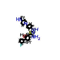 CCNC1CCN(c2ccc(Nc3nc(N)c(C4(C)CCC(C(C)C)C(c5cccc(F)c5)C4=O)s3)cc2)CC1